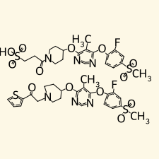 Cc1c(Oc2ccc(S(C)(=O)=O)cc2F)ncnc1OC1CCN(C(=O)CCS(=O)(=O)O)CC1.Cc1c(Oc2ccc(S(C)(=O)=O)cc2F)ncnc1OC1CCN(CC(=O)c2cccs2)CC1